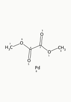 COC(=O)C(=O)OC.[Pd]